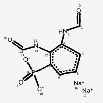 O=CNc1cccc(P(=O)([O-])[O-])c1NC=O.[Na+].[Na+]